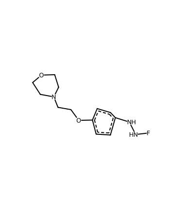 FNNc1ccc(OCCN2CCOCC2)cc1